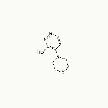 Oc1nnccc1N1CCOCC1